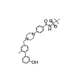 Cc1cc(CN2CCN(c3ccc(C(=O)NS(=O)(=O)C(C)(C)C)cc3)CC2)ccc1-c1cccc(O)c1